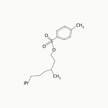 Cc1ccc(S(=O)(=O)OCCC(C)CCCC(C)C)cc1